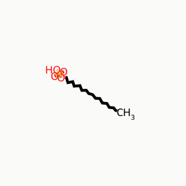 CCCCCCCCCCCCCCCCCOS(=O)(=O)O